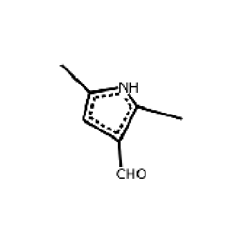 Cc1cc(C=O)c(C)[nH]1